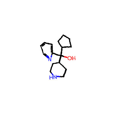 OC(c1ccccn1)(C1CCCC1)C1CCNCC1